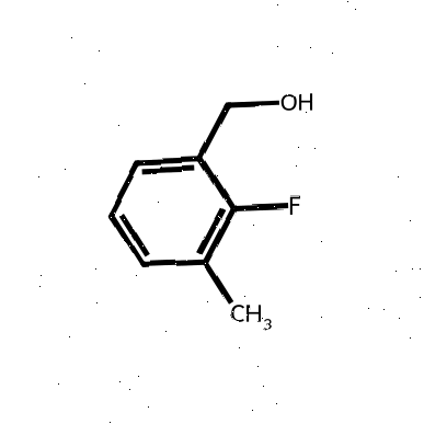 Cc1cccc(CO)c1F